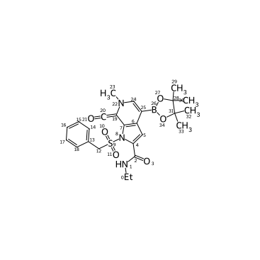 CCNC(=O)c1cc2c(n1S(=O)(=O)Cc1ccccc1)C(=C=O)N(C)C=C2B1OC(C)(C)C(C)(C)O1